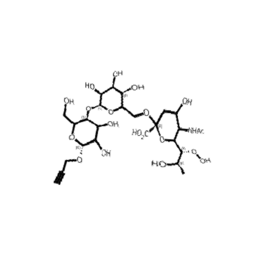 C#CCO[C@@H]1OC(CO)[C@@H](O[C@@H]2OC(CO[C@]3(C(=O)O)CC(O)C(NC(C)=O)C([C@H](OO)[C@@H](C)O)O3)[C@H](O)C(O)C2O)C(O)C1O